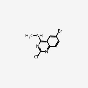 CNc1nc(Cl)nc2ccc(Br)cc12